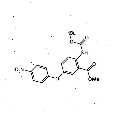 COC(=O)c1cc(Oc2ccc([N+](=O)[O-])cc2)ccc1NC(=O)OC(C)(C)C